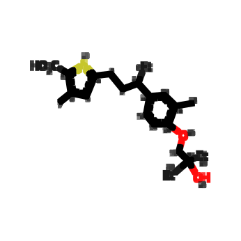 CCC(CCc1cc(C)c(C(=O)O)s1)c1ccc(OCC(O)(CC)CC)c(C)c1